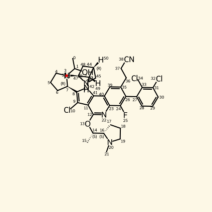 CC(O)N1CCC[C@@H]1c1c(Cl)c2c(O[C@@H](C)[C@@H]3CCCN3C)nc3c(F)c(-c4cccc(Cl)c4Cl)c(CCC#N)cc3c2n1[C@H]1[C@H]2CN[C@@H]1C2